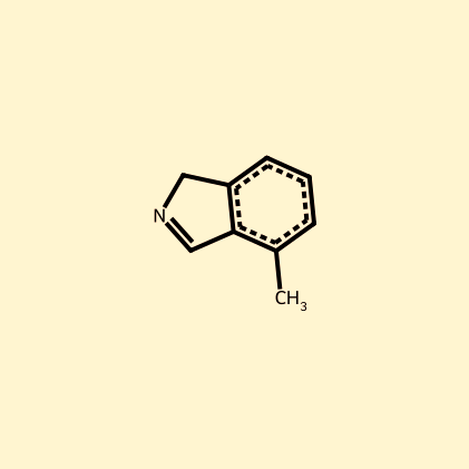 Cc1cccc2c1C=NC2